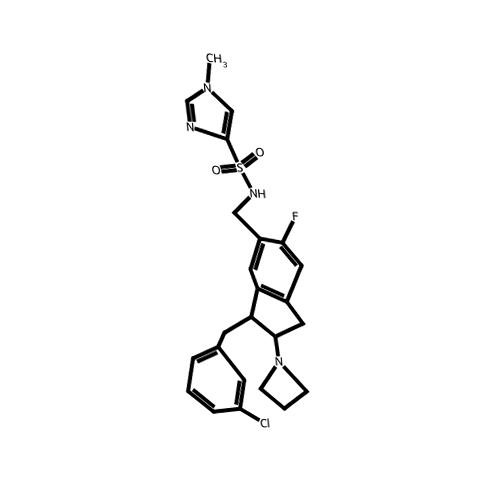 Cn1cnc(S(=O)(=O)NCc2cc3c(cc2F)CC(N2CCC2)C3Cc2cccc(Cl)c2)c1